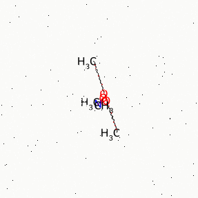 CCCCCCCCC=CCCCCCCCCOCC(COCCCCCCCCC=CCCCCCCCC)OC(=O)CCN(C)C